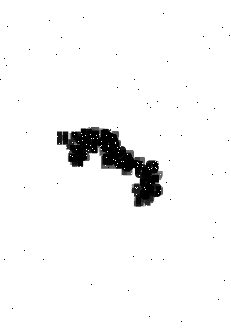 Cc1ccc(S(=O)(=O)NC23CC(COC(=O)N(C)OC(=O)C(F)(F)F)(C2)C3)cc1-c1cnc(N)c(-n2cncn2)n1